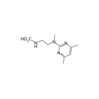 Cc1cc(C)nc(N(C)CCNC(=O)O)n1